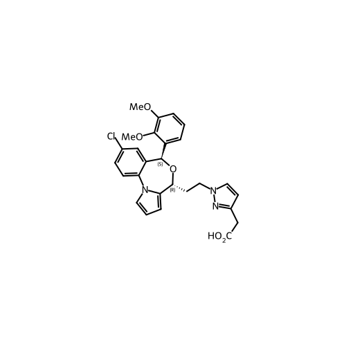 COc1cccc([C@H]2O[C@H](CCn3ccc(CC(=O)O)n3)c3cccn3-c3ccc(Cl)cc32)c1OC